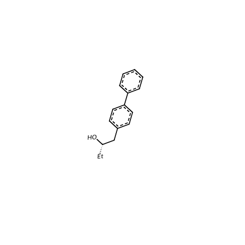 CC[C@H](O)Cc1ccc(-c2ccccc2)cc1